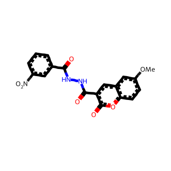 COc1ccc2oc(=O)c(C(=O)NNC(=O)c3cccc([N+](=O)[O-])c3)cc2c1